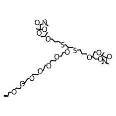 C=CCOCCOCCOCCOCCOCCOCCOC(CSCCCOC1COC(C)(C(=O)N(C)C)OC1)CSCCCOC1COC(C)(C(=O)N(C)C)OC1